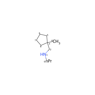 CCCNCC1(C)CCCC1